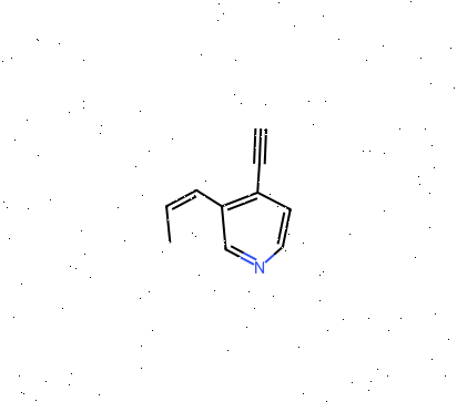 C#Cc1ccncc1/C=C\C